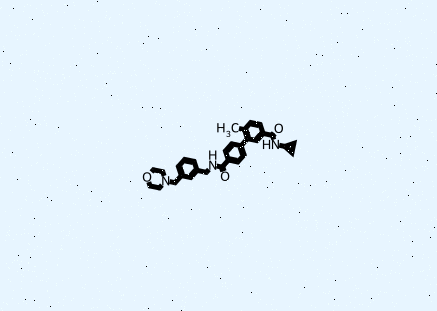 Cc1ccc(C(=O)NC2CC2)cc1-c1ccc(C(=O)NCc2cccc(CN3CCOCC3)c2)cc1